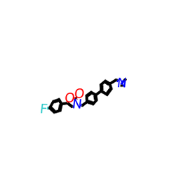 CN(C)Cc1ccc(-c2ccc(CN3CC(c4ccc(F)cc4)OC3=O)cc2)cc1